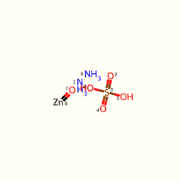 N.N.O=S(=O)(O)O.[O]=[Zn]